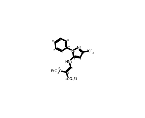 CCOC(=O)C(=CNc1cc(C(F)(F)F)nn1-c1ccccc1)C(=O)OCC